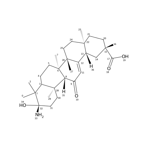 CC1(C)C2CC[C@]3(C)[C@H](C(=O)C=C4[C@H]5C[C@@](C)(C(=O)O)CC[C@]5(C)CC[C@]43C)[C@@]2(C)CC[C@]1(N)O